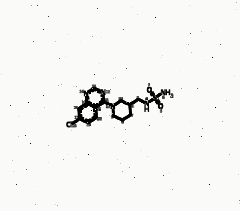 NS(=O)(=O)NCC1CCCN(c2ncnc3cc(Cl)ccc23)C1